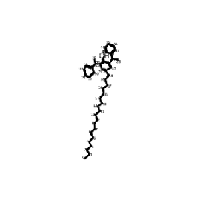 CCCCCCCCCCCCCCCCCCCCc1cc(C(C)c2ccccc2)c(O)c(C(C)c2ccccc2)c1